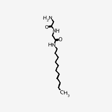 CCCCCCCCCCCNC(=O)CNC(=O)CN